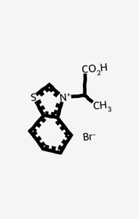 CC(C(=O)O)[n+]1csc2ccccc21.[Br-]